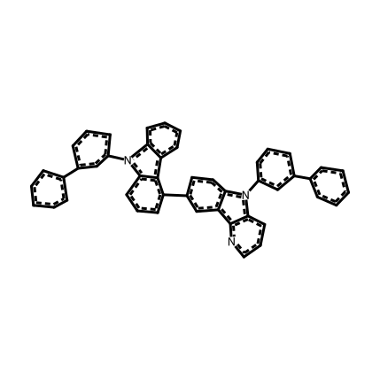 c1ccc(-c2cccc(-n3c4ccc(-c5cccc6c5c5ccccc5n6-c5cccc(-c6ccccc6)c5)cc4c4ncccc43)c2)cc1